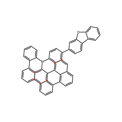 c1ccc(-c2ccccc2N(c2ccc(-c3ccc4c(c3)oc3ccccc34)cc2)c2ccccc2-c2cccc3cccc(-c4ccccc4)c23)cc1